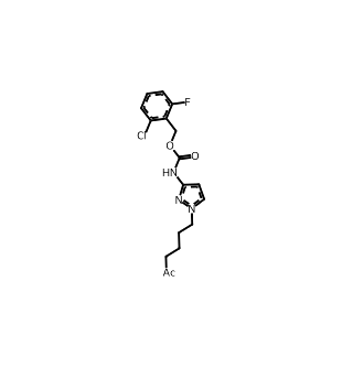 CC(=O)CCCCn1ccc(NC(=O)OCc2c(F)cccc2Cl)n1